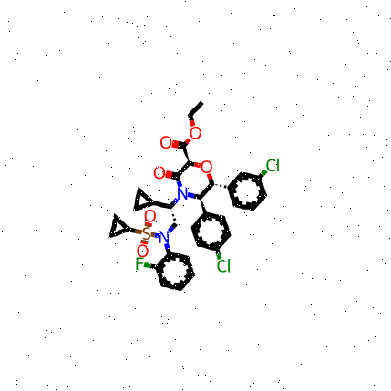 CCOC(=O)[C@H]1O[C@H](c2cccc(Cl)c2)[C@@H](c2ccc(Cl)cc2)N([C@H](CN(c2ccccc2F)S(=O)(=O)C2CC2)C2CC2)C1=O